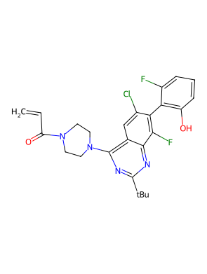 C=CC(=O)N1CCN(c2nc(C(C)(C)C)nc3c(F)c(-c4c(O)cccc4F)c(Cl)cc23)CC1